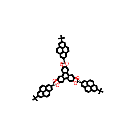 CC(C)(C)c1cc2ccc3cc(B4Oc5cc6c7cc8c(cc7c7cc9c(cc7c6cc5O4)OB(c4cc5ccc6cc(C(C)(C)C)cc7ccc(c4)c5c67)O9)OB(c4cc5ccc6cc(C(C)(C)C)cc7ccc(c4)c5c67)O8)cc4ccc(c1)c2c34